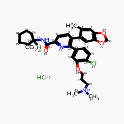 Cc1cc2c(cc1-c1ccc(C(=O)NC3(C(=O)O)CCCCC3)nc1-c1ccc(Cl)c(OCCCN(C)C)c1)OCO2.Cl